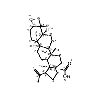 C=C(C)[C@@H]1CC[C@]2(C(=O)O)CC[C@]3(C)C(CC[C@@H]4[C@@]5(C)CC[C@H](O)C(C)(C)[C@@H]5CC[C@]43C)[C@@H]12